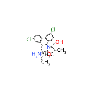 C=CC[C@@]1(N)CC(c2cccc(Cl)c2)C(c2ccc(Cl)cc2)N([C@H](CO)C(C)C)C1=O